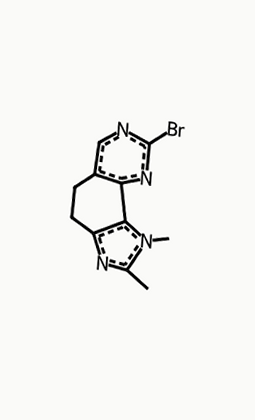 Cc1nc2c(n1C)-c1nc(Br)ncc1CC2